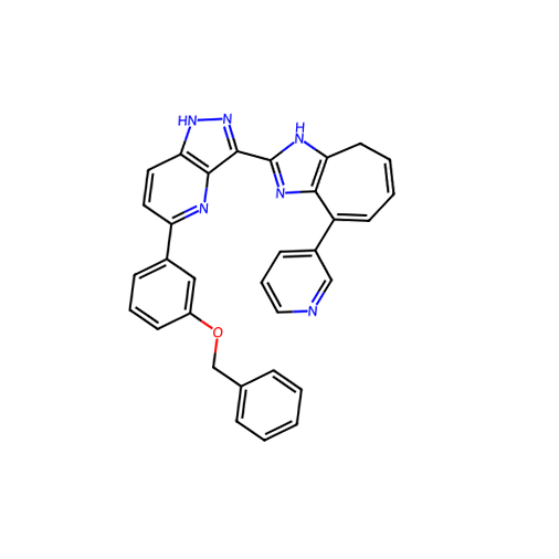 C1=CCc2[nH]c(-c3n[nH]c4ccc(-c5cccc(OCc6ccccc6)c5)nc34)nc2C(c2cccnc2)=C1